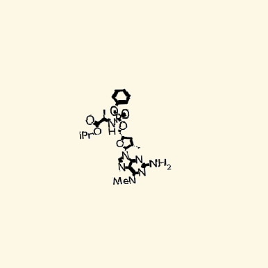 CNc1nc(N)nc2c1ncn2[C@@H]1O[C@H](COP(=O)(N[C@H](C)C(=O)OC(C)C)Oc2ccccc2)C[C@@H]1C